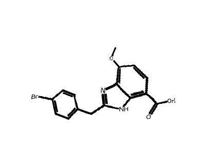 COc1ccc(C(=O)O)c2[nH]c(Cc3ccc(Br)cc3)nc12